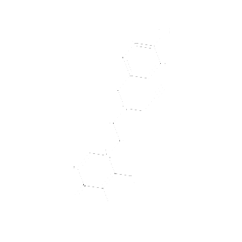 C#CCN(CCn1ccc(=O)c(O)c1C)Cc1ccc(C)cc1